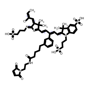 C\C=C(Cl)/C=C1\C(=N\CCCS(=O)(=O)O)N=C(/C=C/C(=C/C=C2/N(CCCS(=O)(=O)O)c3ccc(S(=O)(=O)O)cc3C2(C)C)c2cccc(CCCCC(=O)NCCN3C(=O)C=CC3=O)c2)C1(C)C